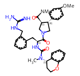 CNC(=O)[C@@H]1CN(C(=O)[C@H](Cc2ccccc2CNC(=N)N)NC(=O)N(C)[C@H]2CCOc3ccccc32)C[C@H]1c1ccc(OC)cc1